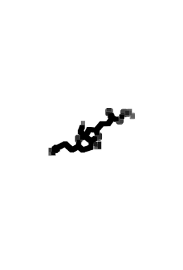 COC(=O)CCC1CC2(CI)OC(CCC#N)CC[C@@H]2O1